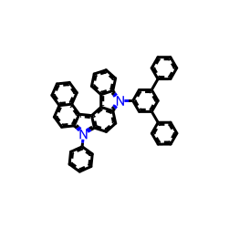 c1ccc(-c2cc(-c3ccccc3)cc(-n3c4ccccc4c4c5c6c7ccccc7ccc6n(-c6ccccc6)c5ccc43)c2)cc1